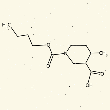 CCCCOC(=O)N1CCC(C)C(C(=O)O)C1